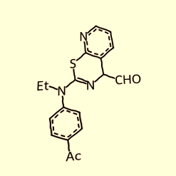 CCN(C1=NC(C=O)c2cccnc2S1)c1ccc(C(C)=O)cc1